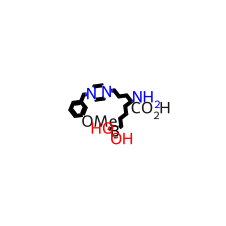 COc1cccc(CN2CCN(CCCC(N)(CCCCB(O)O)C(=O)O)CC2)c1